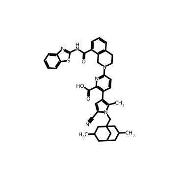 Cc1c(-c2ccc(N3CCc4cccc(C(=O)Nc5nc6ccccc6s5)c4C3)nc2C(=O)O)cc(C#N)n1CC12CC(C)CC(CC(C)C1)C2